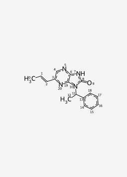 C/C=C/c1cnc2[nH]c(=O)n(C(C)c3ccccc3)c2n1